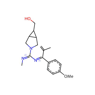 C=C(C)/C(=N\C(=N/C)N1CC2C(CO)C2C1)c1ccc(OC)cc1